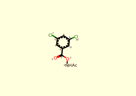 CC(=O)NOC(=O)c1cc(Cl)cc(Cl)c1